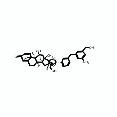 C[C@]12C=CC(=O)C=C1CC[C@@H]1[C@@H]2[C@@H](O)C[C@@]2(C)[C@H]1C[C@H]1O[C@@H](c3cccc(Cc4cc(N)cc(CO)c4)c3)O[C@]12C(=O)CO